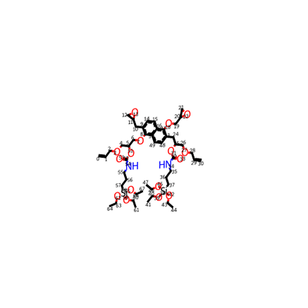 C=CCOCC(COc1c(CC2CO2)ccc2c(OCC3CO3)c(CC(COCC=C)OC(=O)NCCC[Si](OCC)(OCC)OCC)ccc12)OC(=O)NCCC[Si](OCC)(OCC)OCC